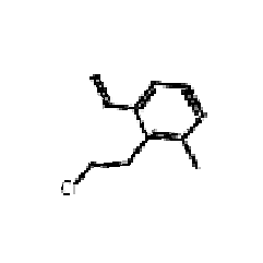 C=Cc1cccc(C)c1CCCl